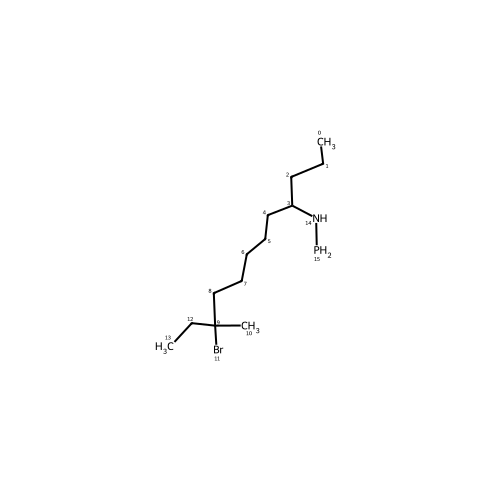 CCCC(CCCCCC(C)(Br)CC)NP